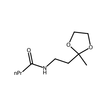 CCCC(=O)NCCC1(C)OCCO1